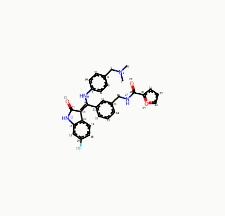 CN(C)Cc1ccc(N/C(=C2\C(=O)Nc3cc(F)ccc32)c2cccc(CNC(=O)c3ccco3)c2)cc1